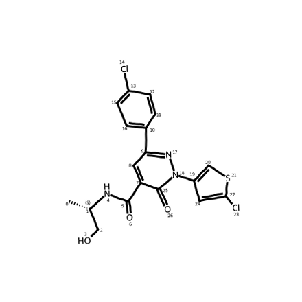 C[C@@H](CO)NC(=O)c1cc(-c2ccc(Cl)cc2)nn(-c2csc(Cl)c2)c1=O